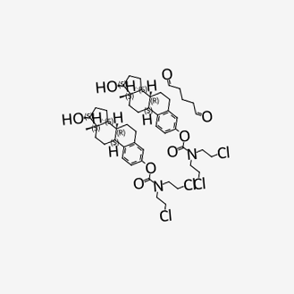 C[C@]12CC[C@@H]3c4ccc(OC(=O)N(CCCl)CCCl)cc4CC[C@H]3[C@@H]1CC[C@@H]2O.C[C@]12CC[C@@H]3c4ccc(OC(=O)N(CCCl)CCCl)cc4CC[C@H]3[C@@H]1CC[C@@H]2O.O=CCCCC=O